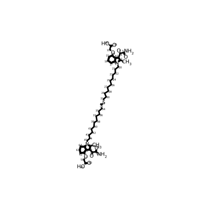 Cc1c(C(=O)C(N)=O)c2c(OCC(=O)O)cccc2n1CCCCCCCCCCCCSSCCCCCCCCCCCCn1c(C)c(C(=O)C(N)=O)c2c(OCC(=O)O)cccc21